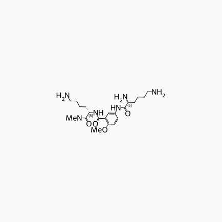 CNC(=O)[C@H](CCCCN)NC(=O)c1cc(NC(=O)[C@@H](N)CCCCN)ccc1OC